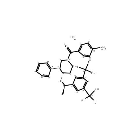 C[C@@H](O[C@H]1CCN(C(=O)c2ccc(N)cc2)C[C@H]1c1ccccc1)c1cc(C(F)(F)F)cc(C(F)(F)F)c1.Cl